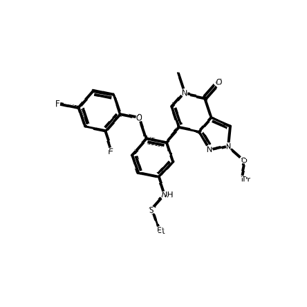 CCSNc1ccc(Oc2ccc(F)cc2F)c(-c2cn(C)c(=O)c3cn(OC(C)C)nc23)c1